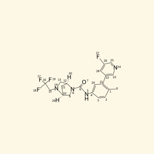 Cc1ccc(NC(=O)N2C[C@@H]3C[C@H]2CN3CC(F)(F)F)cc1-c1cncc(F)c1